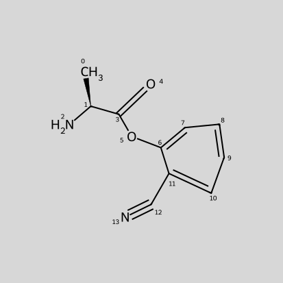 C[C@H](N)C(=O)Oc1ccccc1C#N